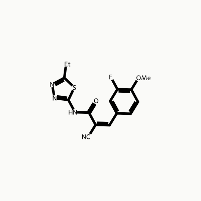 CCc1nnc(NC(=O)C(C#N)=Cc2ccc(OC)c(F)c2)s1